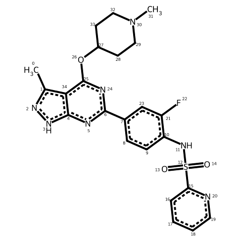 Cc1n[nH]c2nc(-c3ccc(NS(=O)(=O)c4ccccn4)c(F)c3)nc(OC3CCN(C)CC3)c12